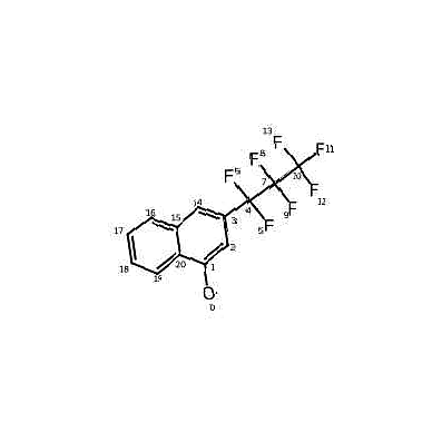 [O]c1cc(C(F)(F)C(F)(F)C(F)(F)F)cc2ccccc12